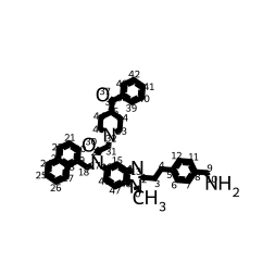 Cn1c(CCc2ccc(CN)cc2)nc2cc(N(Cc3cccc4ccccc34)C(=O)CN3CCC(C(=O)c4ccccc4)CC3)ccc21